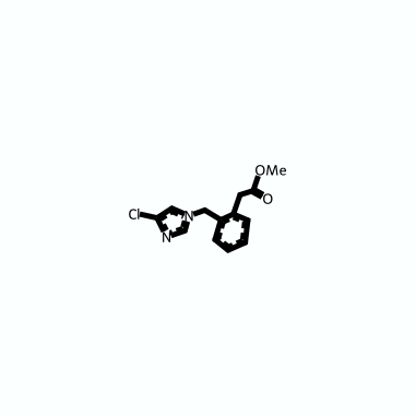 COC(=O)Cc1ccccc1Cn1cnc(Cl)c1